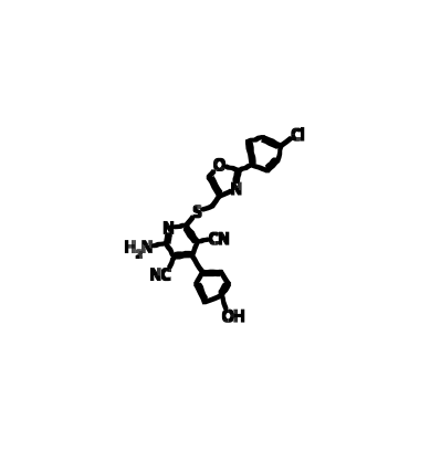 N#Cc1c(N)nc(SCc2coc(-c3ccc(Cl)cc3)n2)c(C#N)c1-c1ccc(O)cc1